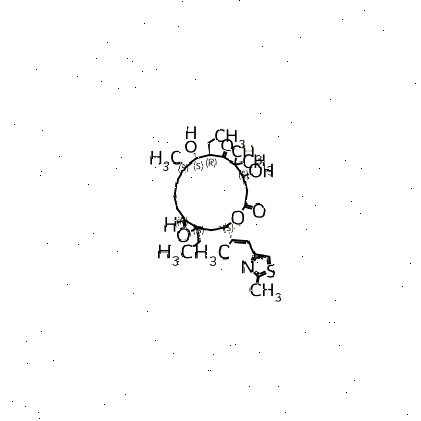 CC[C@H]1C(=O)C(C)(C)[C@@H](O)CC(=O)O[C@H](C(C)=Cc2csc(C)n2)C[C@]2(CC)O[C@@H]2CCC[C@H](C)[C@@H]1O